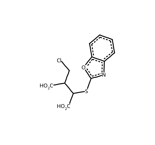 O=C(O)C(CCl)C(Sc1nc2ccccc2o1)C(=O)O